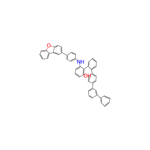 Oc1cccc(Nc2ccc(-c3ccc4oc5ccccc5c4c3)cc2)c1-c1ccccc1-c1ccc(-c2cccc(-c3ccccc3)c2)cc1